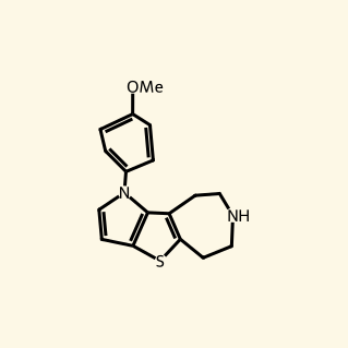 COc1ccc(-n2ccc3sc4c(c32)CCNCC4)cc1